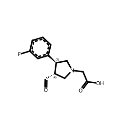 O=C[C@H]1CN(CC(=O)O)C[C@@H]1c1cccc(F)c1